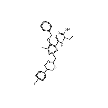 CCC(NC(=O)c1nc(CC2OCC(c3ccc(F)cc3)CO2)nc(C)c1OCc1ccccc1)C(=O)O